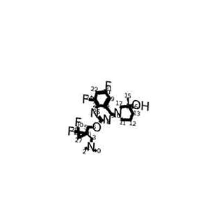 CN(C)C[C@@]1(COc2nc(N3CCC[C@@](C)(O)C3)c3cc(F)cc(F)c3n2)CC1(F)F